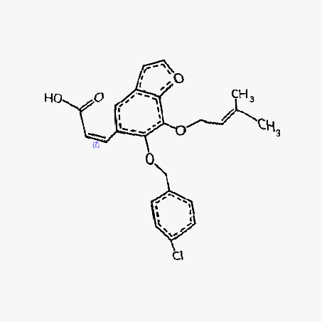 CC(C)=CCOc1c(OCc2ccc(Cl)cc2)c(/C=C\C(=O)O)cc2ccoc12